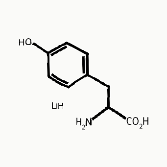 NC(Cc1ccc(O)cc1)C(=O)O.[LiH]